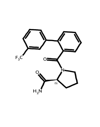 NC(=O)[C@@H]1CCCN1C(=O)c1ccccc1-c1cccc(C(F)(F)F)c1